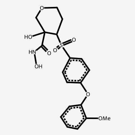 COc1ccccc1Oc1ccc(S(=O)(=O)C2CCOCC2(O)C(=O)NO)cc1